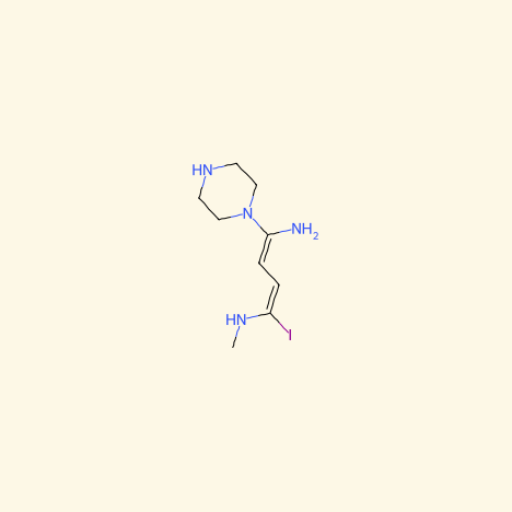 CN/C(I)=C\C=C(/N)N1CCNCC1